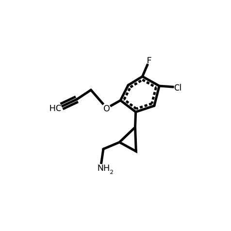 C#CCOc1cc(F)c(Cl)cc1C1CC1CN